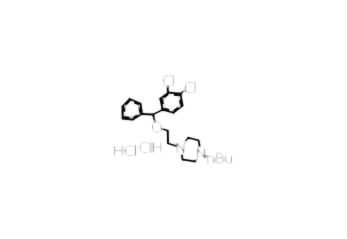 CCCCN1CCN(CCOC(c2ccccc2)c2ccc(Cl)c(Cl)c2)CC1.Cl.Cl